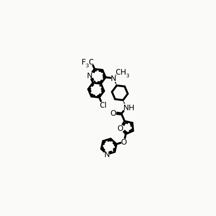 CN(c1cc(C(F)(F)F)nc2ccc(Cl)cc12)[C@H]1CC[C@@H](NC(=O)c2ccc(Oc3cccnc3)o2)CC1